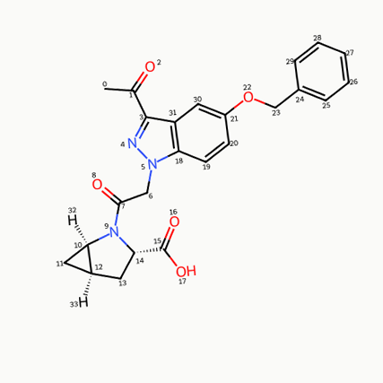 CC(=O)c1nn(CC(=O)N2[C@@H]3C[C@@H]3C[C@H]2C(=O)O)c2ccc(OCc3ccccc3)cc12